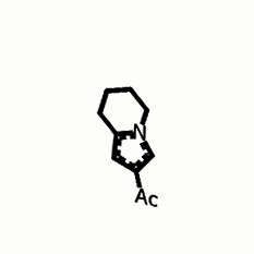 CC(=O)c1cc2n(c1)CCCC2